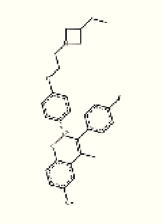 CC1=C(c2ccc(F)cc2)[C@@H](c2ccc(OCCN3CC(CF)C3)cc2)Oc2ccc(O)cc21